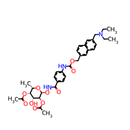 CCN(CC)Cc1ccc2cc(COC(=O)Nc3ccc(C(=O)NO[C@@H]4O[C@@H](C)[C@@H](OC(C)=O)[C@@H](O)[C@@H]4OC(C)=O)cc3)ccc2c1